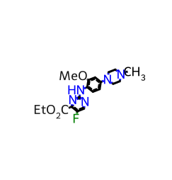 CCOC(=O)c1nc(Nc2ccc(N3CCN(C)CC3)cc2OC)ncc1F